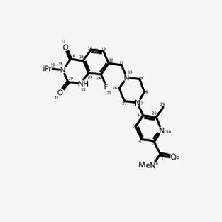 CNC(=O)c1ccc(N2CCN(Cc3ccc4c(=O)n(C(C)C)c(=O)[nH]c4c3F)CC2)c(C)n1